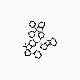 CC1(C)c2ccc(N(c3ccc4c(c3)C3(c5ccccc5-c5ccccc53)c3ccccc3-4)c3cccc4c3sc3ccccc34)cc2-c2c(-c3ccccc3)cccc21